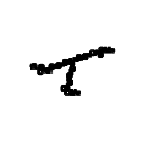 COC(=O)CCOCCOCCOCCN(CCOCCOCCOCCNC(=O)OC(C)(C)C)CCOCCOCCOCCC(=O)OC